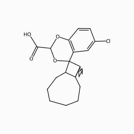 O=C(O)C1Oc2ccc(Cl)cc2C2(O1)C1CCCCCCC13CCCCCCC32